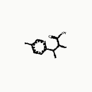 CCCC(=O)C(C)C(C)c1ccc(C)cn1